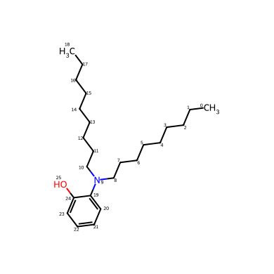 CCCCCCCCCN(CCCCCCCCC)c1ccccc1O